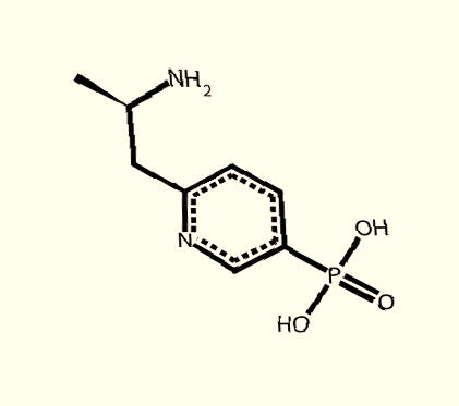 C[C@@H](N)Cc1ccc(P(=O)(O)O)cn1